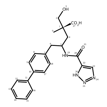 C[C@](CO)(CC(Cc1ccc(-c2ccccc2)cc1)NC(=O)c1cnn[nH]1)C(=O)O